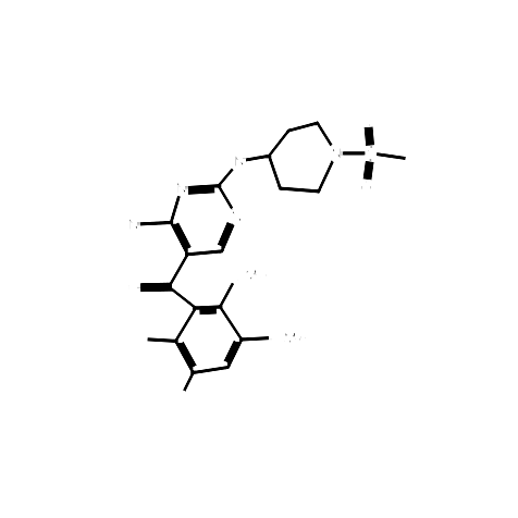 COc1cc(F)c(F)c(C(=O)c2cnc(NC3CCN(S(C)(=O)=O)CC3)nc2N)c1OC